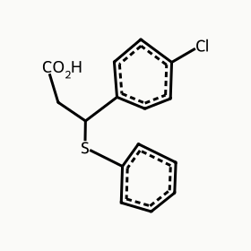 O=C(O)CC(Sc1ccccc1)c1ccc(Cl)cc1